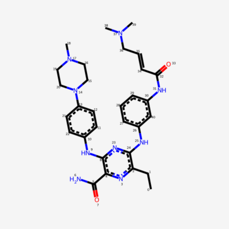 CCc1nc(C(N)=O)c(Nc2ccc(N3CCN(C)CC3)cc2)nc1Nc1cccc(NC(=O)/C=C/CN(C)C)c1